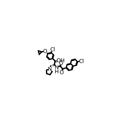 O=C(N[C@H](CN1CCCC1)[C@H](O)c1ccc(OC2CC2)c(Cl)c1)C(=O)c1ccc2cc(Cl)ccc2c1